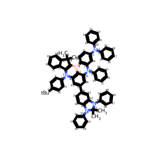 CC(C)(C)c1ccc(N2C3=C(B4c5ccc(N(c6ccccc6)c6ccccc6)cc5N(c5ccccc5)c5cc(-c6ccc7c(c6)N(c6ccccc6)C(C)(C)N7c6ccccc6)cc2c54)C(C)(C)c2ccccc23)cc1